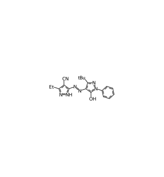 CCc1n[nH]c(/N=N/c2c(C(C)(C)C)nn(-c3ccccc3)c2O)c1C#N